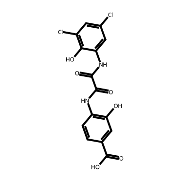 O=C(Nc1ccc(C(=O)O)cc1O)C(=O)Nc1cc(Cl)cc(Cl)c1O